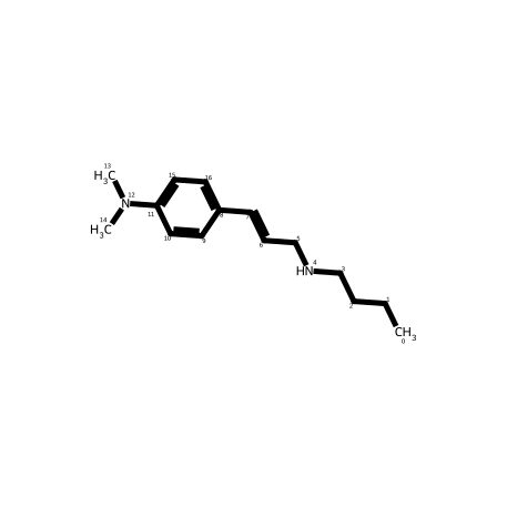 CCCCNCC=Cc1ccc(N(C)C)cc1